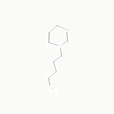 CCCCCN1CCCNC1